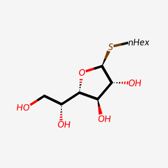 CCCCCCS[C@@H]1O[C@@H]([C@H](O)CO)[C@H](O)[C@H]1O